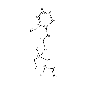 C=CC1(C)CCC(C)(COCc2ccccc2Br)O1